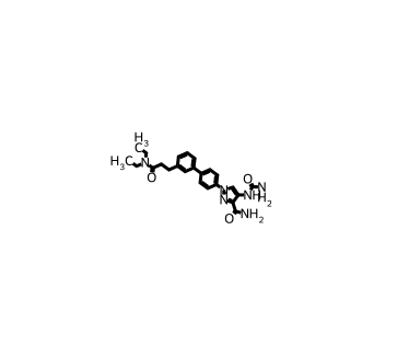 CCN(CC)C(=O)CCc1cccc(-c2ccc(-n3cc(NC(N)=O)c(C(N)=O)n3)cc2)c1